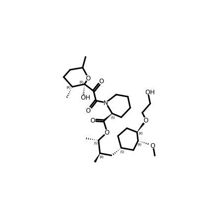 CO[C@@H]1C[C@H](C[C@@H](C)[C@H](C)OC(=O)[C@@H]2CCCCN2C(=O)C(=O)[C@]2(O)OC(C)CC[C@H]2C)CC[C@H]1OCCO